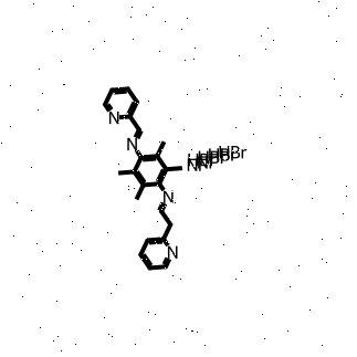 Br.Br.Br.Br.Cc1c(C)c(N=Cc2ccccn2)c(C)c(C)c1N=CCc1ccccn1.[Ni].[Ni]